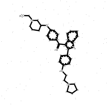 CCN1CCCC(Oc2ccc(C(=O)c3c(-c4ccc(OCCN5CCCC5)cc4)sc4ccccc34)cc2)C1